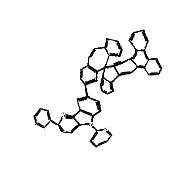 C1=Cc2ccc(-c3ccc4c(c3)c3nc(-c5ccccc5)ccc3n4-c3ccccn3)cc2C2(c3ccccc31)c1ccccc1-c1cc3c4ccccc4c4ccccc4c3cc12